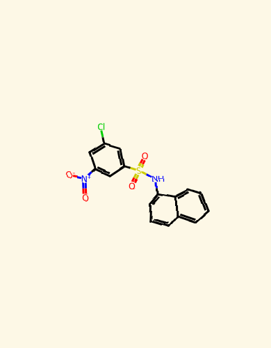 O=[N+]([O-])c1cc(Cl)cc(S(=O)(=O)Nc2cccc3ccccc23)c1